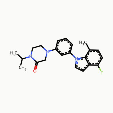 Cc1ccc(F)c2ccn(-c3cccc(N4CCN(C(C)C)C(=O)C4)c3)c12